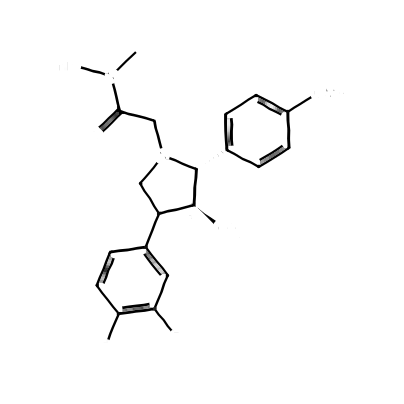 CCCN(C)C(=O)CN1CC(c2ccc(F)c(F)c2)[C@H](C(=O)O)[C@H]1c1ccc(OC)cc1